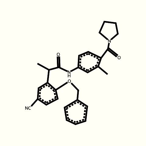 Cc1cc(NC(=O)C(C)c2cc(C#N)ccc2OCc2ccccc2)ccc1C(=O)N1CCCC1